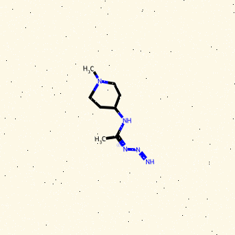 C/C(=N/N=N)NC1CCN(C)CC1